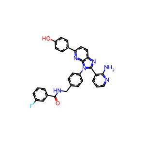 Nc1ncccc1-c1nc2ccc(-c3ccc(O)cc3)nc2n1-c1ccc(CNC(=O)c2cccc(F)c2)cc1